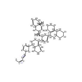 C/C=C\C=C\C1C=CC=C(C2CCC(C3=CC=C(C4CC5CCCCC5C5=C4CCCC5)CC3NC3C=C[C@H]4CCC=CC4C3)=C3C=CCCC32)C1